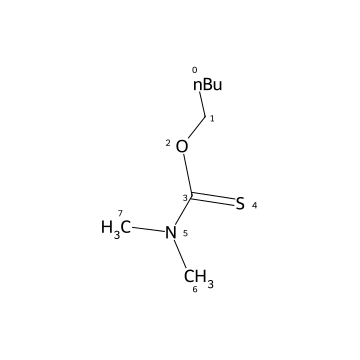 CCCCCOC(=S)N(C)C